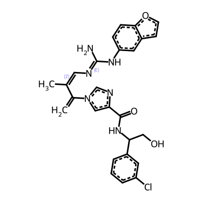 C=C(/C(C)=C\N=C(/N)Nc1ccc2occc2c1)n1cnc(C(=O)NC(CO)c2cccc(Cl)c2)c1